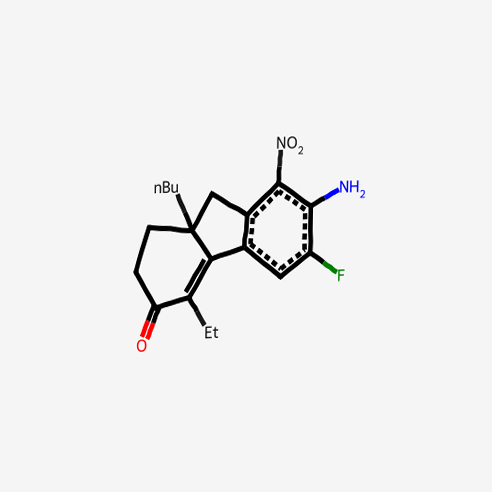 CCCCC12CCC(=O)C(CC)=C1c1cc(F)c(N)c([N+](=O)[O-])c1C2